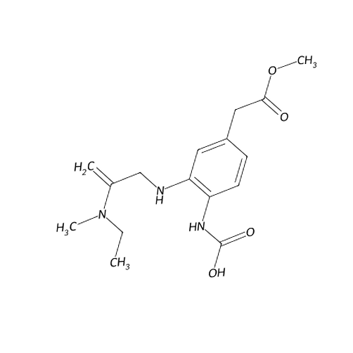 C=C(CNc1cc(CC(=O)OC)ccc1NC(=O)O)N(C)CC